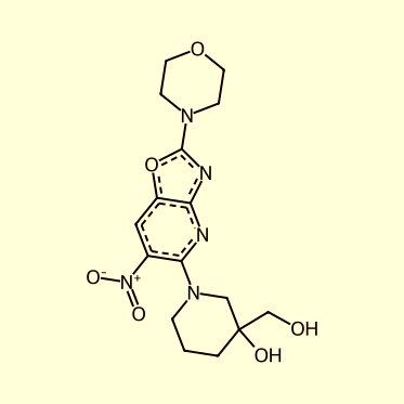 O=[N+]([O-])c1cc2oc(N3CCOCC3)nc2nc1N1CCCC(O)(CO)C1